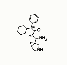 NC(NC(=O)[C@H](c1ccccc1)C1CCCCC1)C12CNCC1C2